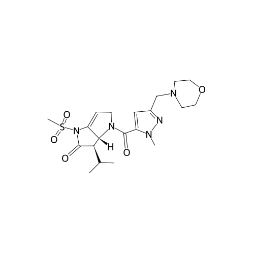 CC(C)[C@H]1C(=O)N(S(C)(=O)=O)C2=CCN(C(=O)c3cc(CN4CCOCC4)nn3C)[C@@H]21